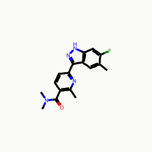 Cc1cc2c(-c3ccc(C(=O)N(C)C)c(C)n3)n[nH]c2cc1F